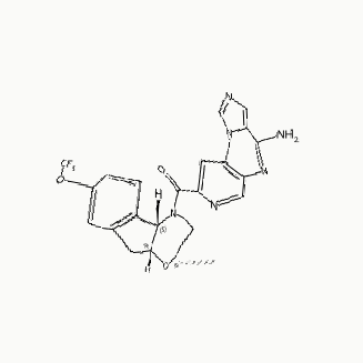 C[C@H]1CN(C(=O)c2cc3c(cn2)nc(N)c2cncn23)[C@H]2c3ccc(OC(F)(F)F)cc3C[C@H]2O1